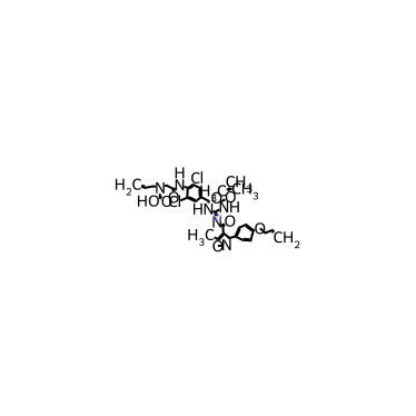 C=CCOc1ccc(-c2noc(C)c2C(=O)/N=C(/NCc2cc(Cl)c(NC(=O)CN(CC=C)C(=O)O)c(Cl)c2)NC(=O)OC(C)(C)C)cc1